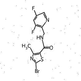 Cc1nc(Br)sc1C(=O)NCc1ncc(F)cc1F